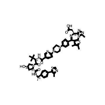 Cc1ncsc1-c1ccc([C@H](C)NC(=O)[C@@H]2C[C@@H](O)CN2C(=O)[C@@H](NC(=O)c2ccc(N3CCN(c4ccc(C5=N[C@@H](CC(=O)O)c6nnc(C)n6-c6sc(C)c(C)c65)cc4)CC3)nc2)C(C)(C)C)cc1